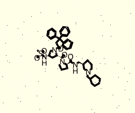 CS(=O)(=O)N[C@H]1C[C@@H](C(=O)N2CCC[C@@H]2C(=O)NC[C@H]2CCCN(CC3CCCCC3)C2)N(C(=O)CC(c2ccccc2)(c2ccccc2)c2ccccc2)C1